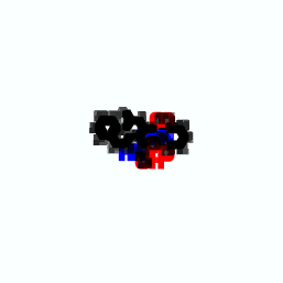 CC(C)CC(C(=O)NN1C(=O)CCCC1=O)[C@H](C/C=C\c1ccccc1)C(=O)NO